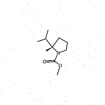 COC(=O)N1CCC[C@@]1(C)C(C)C